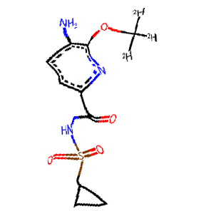 [2H]C([2H])([2H])Oc1nc(C(=O)NS(=O)(=O)C2CC2)ccc1N